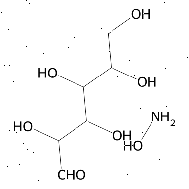 NO.O=CC(O)C(O)C(O)C(O)CO